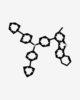 Cc1cc(-c2ccc(N(c3ccc(-c4ccccc4)cc3)c3ccc(-c4ccccc4)cc3)cc2)c2c(c1)oc1c3c(ccc12)CCC=C3